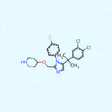 CC(C)(c1ccc(Cl)c(Cl)c1)c1cnc(COC2CCNCC2)n1-c1ccc(F)cc1